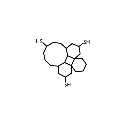 SC1CCCC2CC(S)CC34CCCCC35CC(S)CC(CC1)C5C24